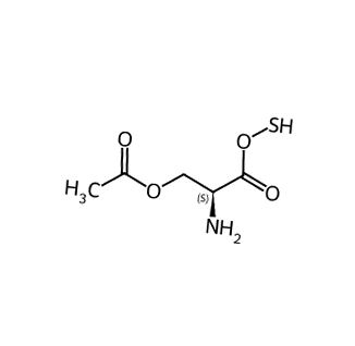 CC(=O)OC[C@H](N)C(=O)OS